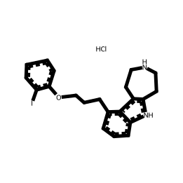 Cl.Ic1ccccc1OCCCc1cccc2[nH]c3c(c12)CCNCC3